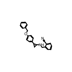 N#Cc1ccccc1CNC1CC1c1ccc(OCc2ccccc2)cc1